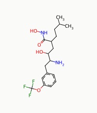 CC(C)CCC(CC(O)C(N)Cc1cccc(OC(F)(F)F)c1)C(=O)NO